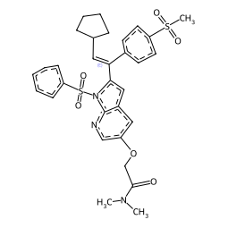 CN(C)C(=O)COc1cnc2c(c1)cc(/C(=C/C1CCCC1)c1ccc(S(C)(=O)=O)cc1)n2S(=O)(=O)c1ccccc1